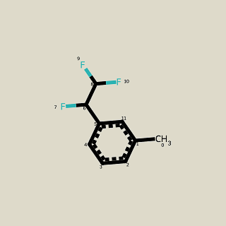 Cc1cccc(C(F)C(F)F)c1